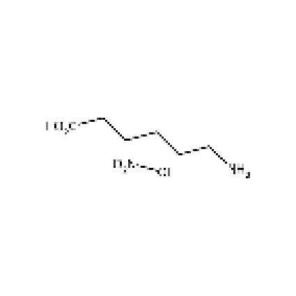 NCCCCCC(=O)O.O=[N+]([O-])O